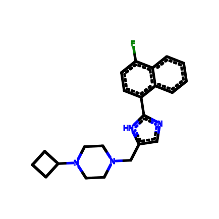 Fc1ccc(-c2ncc(CN3CCN(C4CCC4)CC3)[nH]2)c2ccccc12